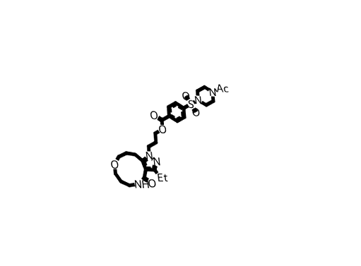 CCc1nn(CCCOC(=O)c2ccc(S(=O)(=O)N3CCN(C(C)=O)CC3)cc2)c2c1C(=O)NCCCOCCC2